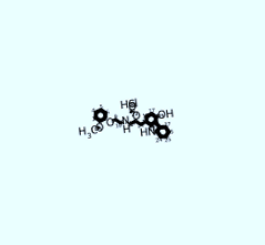 COc1ccccc1OCCNCC(Cc1ccc(O)c2c1[nH]c1ccccc12)OC=O.Cl